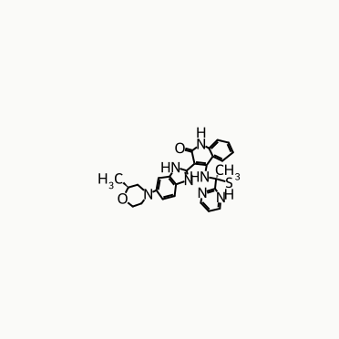 C[C@H]1CN(c2ccc3nc(-c4c(N[C@@](C)(S)c5ncccn5)c5ccccc5[nH]c4=O)[nH]c3c2)CCO1